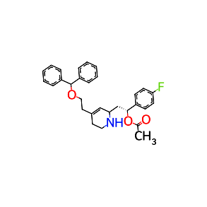 CC(=O)O[C@H](CC1C=C(CCOC(c2ccccc2)c2ccccc2)CCN1)c1ccc(F)cc1